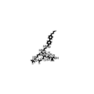 CCCCc1ccc(-c2ccc(C(=O)NCCC(=O)N[C@@H](CCCCNC(=O)OC(C)(C)C)C(=O)N[C@H](C(=O)N[C@@H](N)C(=O)NC3(C(=O)O)CC3)[C@@H](C)OCC(C)C)cc2)cc1